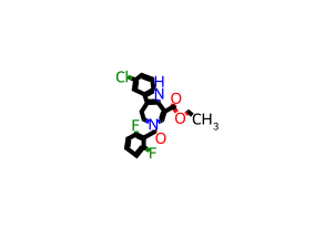 CCOC(=O)C1=CN(C(=O)c2c(F)cccc2F)CCc2c1[nH]c1ccc(Cl)cc21